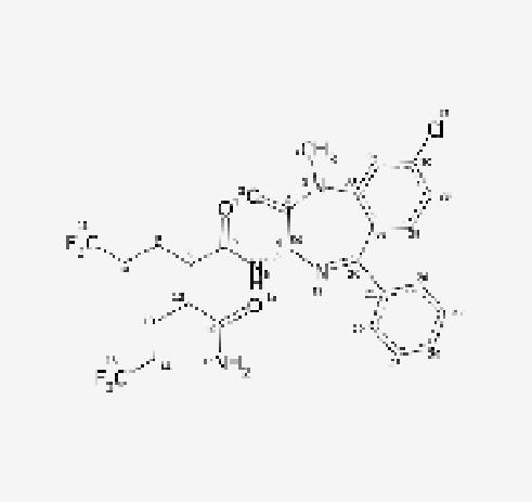 CN1C(=O)[C@@H](NC(=O)C(CCC(F)(F)F)C(CCC(F)(F)F)C(N)=O)N=C(c2ccccc2)c2ccc(Cl)cc21